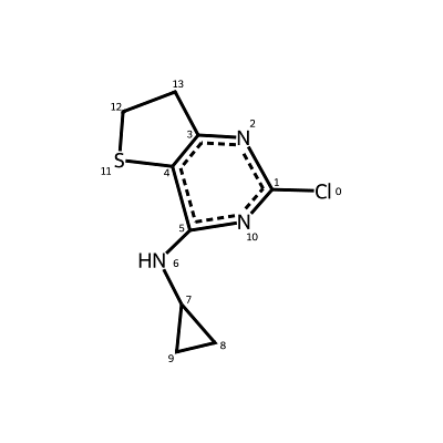 Clc1nc2c(c(NC3CC3)n1)SCC2